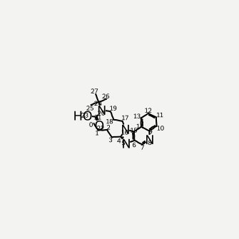 CCCCc1nc2cnc3ccccc3c2n1CCCN(C(=O)O)C(C)(C)C